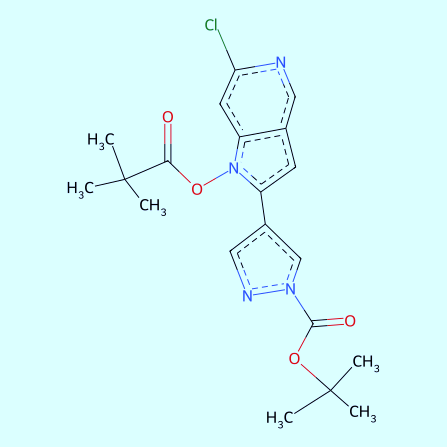 CC(C)(C)OC(=O)n1cc(-c2cc3cnc(Cl)cc3n2OC(=O)C(C)(C)C)cn1